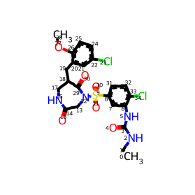 CCNC(=O)Nc1cc(S(=O)(=O)N2CC(=O)NCC(Cc3cc(Cl)ccc3OC)C2=O)ccc1Cl